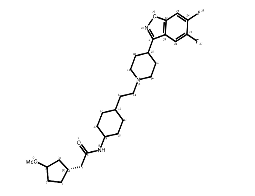 COC1CC[C@@H](CC(=O)NC2CCC(CCN3CCC(c4noc5cc(F)c(F)cc45)CC3)CC2)C1